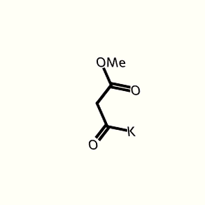 COC(=O)C[C](=O)[K]